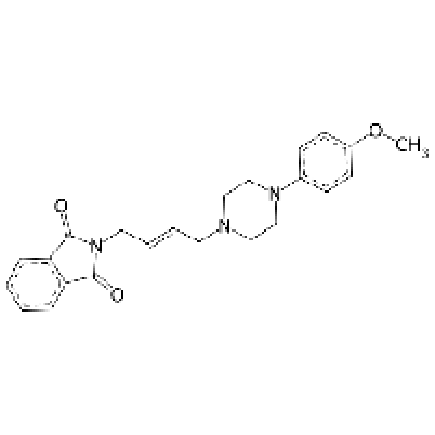 COc1ccc(N2CCN(CC=CCN3C(=O)c4ccccc4C3=O)CC2)cc1